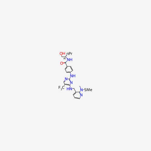 CCC[C@H](CO)NC(=O)c1ccc(Nc2ncc(C(F)(F)F)c(NCc3cccnc3N(C)SC)n2)cc1